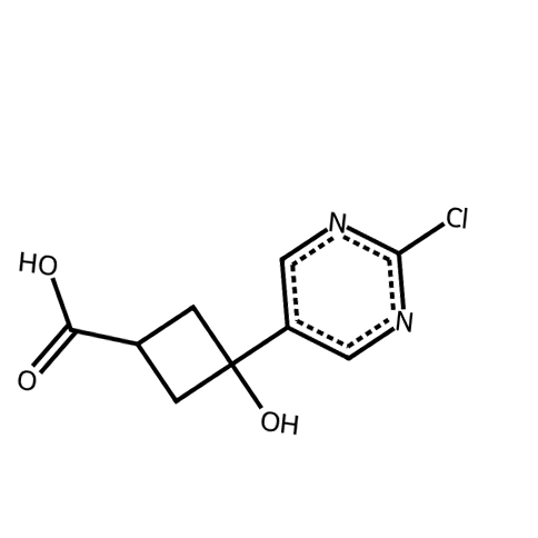 O=C(O)C1CC(O)(c2cnc(Cl)nc2)C1